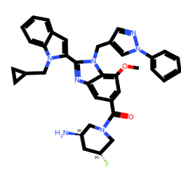 COc1cc(C(=O)N2C[C@H](N)C[C@@H](F)C2)cc2nc(-c3cc4ccccc4n3CC3CC3)n(Cc3cnn(-c4ccccc4)c3)c12